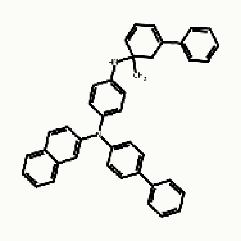 CC1(Nc2ccc(N(c3ccc(-c4ccccc4)cc3)c3ccc4ccccc4c3)cc2)C=CC=C(c2ccccc2)C1